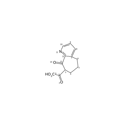 O=C(O)C(=O)C1CCCc2cccnc2C1=O